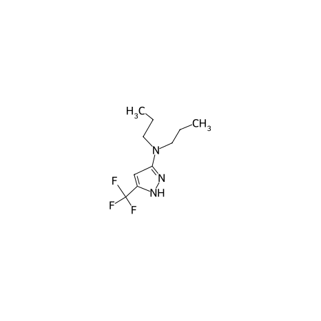 CCCN(CCC)c1cc(C(F)(F)F)[nH]n1